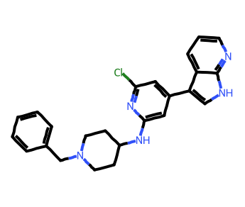 Clc1cc(-c2c[nH]c3ncccc23)cc(NC2CCN(Cc3ccccc3)CC2)n1